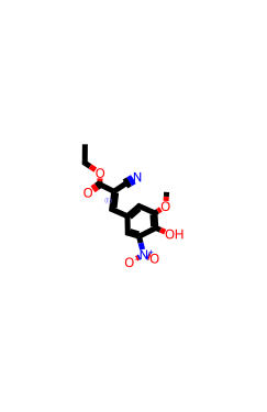 CCOC(=O)/C(C#N)=C/c1cc(OC)c(O)c([N+](=O)[O-])c1